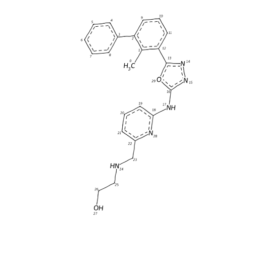 Cc1c(-c2ccccc2)cccc1-c1nnc(Nc2cccc(CNCCO)n2)o1